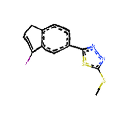 CSc1nnc(-c2ccc3c(c2)C(I)=CC3)s1